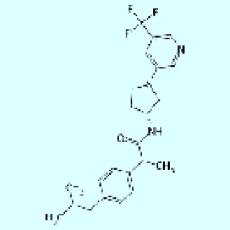 CC(C)Cc1ccc(C(C)C(=O)N[C@@H]2CCN(c3cncc(C(F)(F)F)c3)C2)cc1